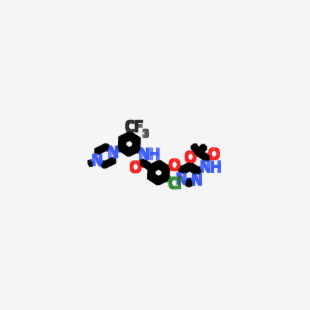 CN1CCN(c2cc(NC(=O)c3ccc(Cl)c(Oc4ncnc5c4OC(C)(C)C(=O)N5)c3)cc(C(F)(F)F)c2)CC1